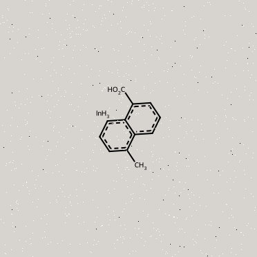 Cc1cccc2c(C(=O)O)cccc12.[InH3]